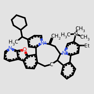 C=C1CC2C(CCc3ccc4c(oc5ncccc54)c3-c3cc(C(C)C4CCCCC4)cc[n+]31)c1ccccc1-c1cc(CC)c([Si](C)(C)C)c[n+]12